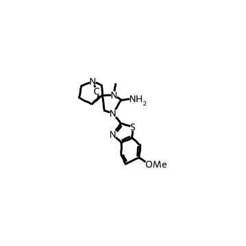 COc1ccc2nc(N3CC4(CN5CCC4CC5)N(C)C3N)sc2c1